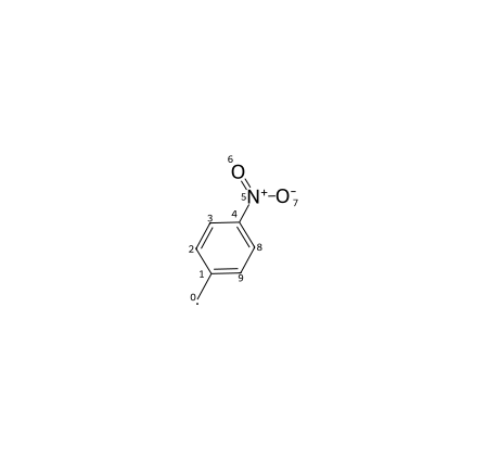 [CH2]c1ccc([N+](=O)[O-])cc1